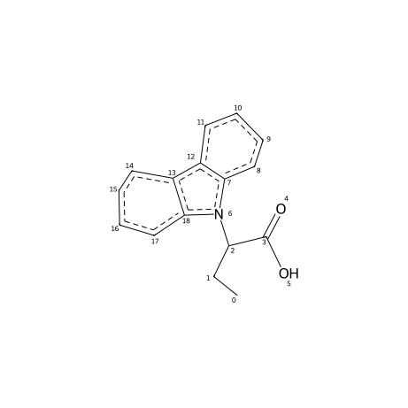 CCC(C(=O)O)n1c2ccccc2c2ccccc21